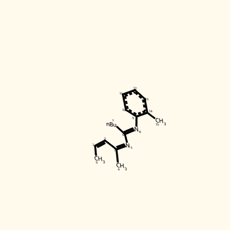 C\C=C/C(C)=N\C(CCCC)=N\c1ccccc1C